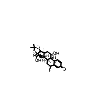 CC1(C)O[C@H]2C[C@H]3[C@@H]4C[C@H](F)C5=CC(=O)C=C[C@]5(C)[C@H]4[C@@H](O)C[C@]3(C)[C@]2(C(=O)CO)O1